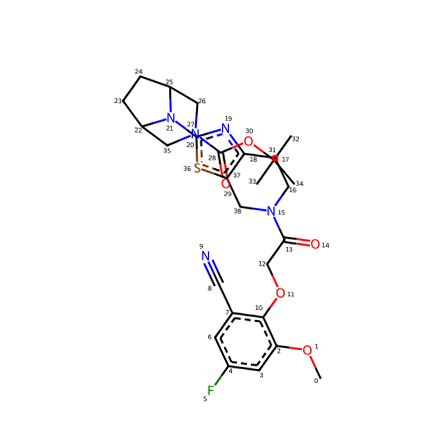 COc1cc(F)cc(C#N)c1OCC(=O)N1CCc2nc(N3C4CCC3CN(C(=O)OC(C)(C)C)C4)sc2C1